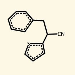 N#CC(Cc1ccccc1)c1cccs1